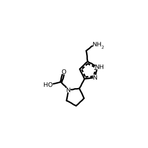 NCc1cc(C2CCCN2C(=O)O)n[nH]1